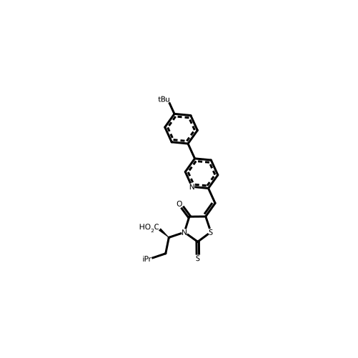 CC(C)C[C@@H](C(=O)O)N1C(=O)/C(=C\c2ccc(-c3ccc(C(C)(C)C)cc3)cn2)SC1=S